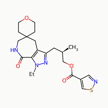 CCn1nc(C[C@@H](C)COC(=O)c2cnsc2)c2c1C(=O)NCC1(CCOCC1)C2